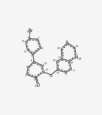 O=c1ccc(-c2ccc(Br)cc2)nn1Cc1ccc2ncccc2c1